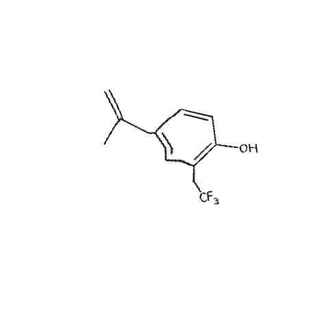 C=C(C)c1ccc(O)c(C(F)(F)F)c1